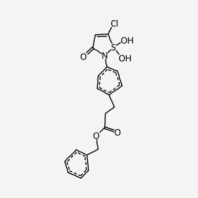 O=C(CCc1ccc(N2C(=O)C=C(Cl)S2(O)O)cc1)OCc1ccccc1